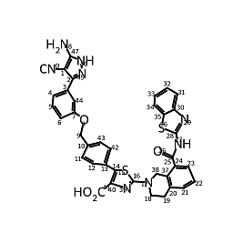 [C-]#[N+]c1c(-c2cccc(OCc3ccc(-c4sc(N5CCc6cccc(C(=O)Nc7nc8ccccc8s7)c6C5)nc4C(=O)O)cc3)c2)n[nH]c1N